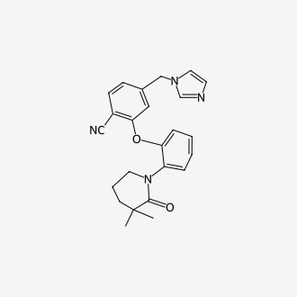 CC1(C)CCCN(c2ccccc2Oc2cc(Cn3ccnc3)ccc2C#N)C1=O